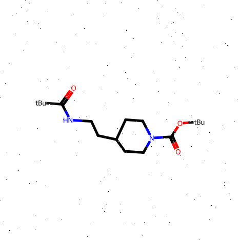 CC(C)(C)OC(=O)N1CCC(CCNC(=O)C(C)(C)C)CC1